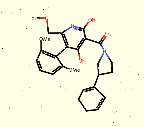 CCOCc1nc(O)c(C(=O)N2CCC(C3=CCCC=C3)C2)c(O)c1-c1c(OC)cccc1OC